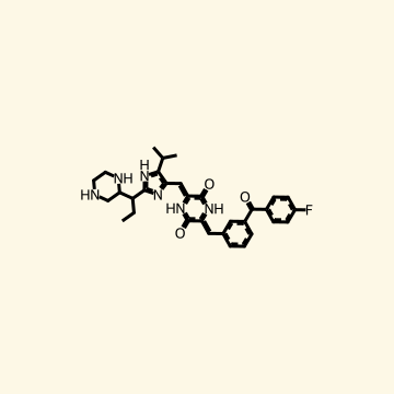 CCC(c1nc(/C=c2\[nH]c(=O)/c(=C/c3cccc(C(=O)c4ccc(F)cc4)c3)[nH]c2=O)c(C(C)C)[nH]1)C1CNCCN1